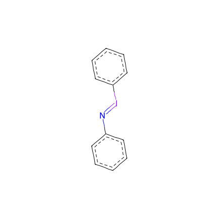 c1ccc(/N=I/c2ccccc2)cc1